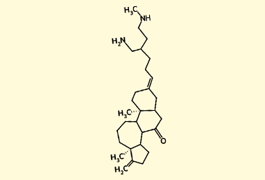 C=C1CCC2C3C(=O)CC4C/C(=C/CCC(CN)CCNC)CC[C@]4(C)C3CCC[C@]12C